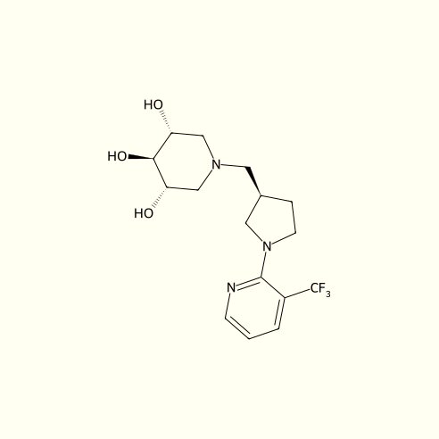 O[C@H]1[C@H](O)CN(C[C@H]2CCN(c3ncccc3C(F)(F)F)C2)C[C@@H]1O